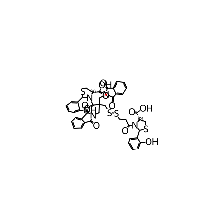 O=C(O)[C@@H]1CSC(c2ccccc2O)N1C(=O)CCSSCC(CN1C(=O)c2ccccc2C1=O)(CN1C(=O)c2ccccc2C1=O)C(=O)N1C(c2ccccc2O)SC[C@H]1C(=O)O